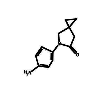 Nc1ccc(N2CC3(CC3)CC2=O)cc1